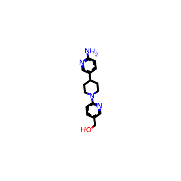 Nc1ccc(C2CCN(c3ccc(CO)cn3)CC2)cn1